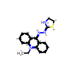 CCn1c2ccccc2c(=NN=C2NCCS2)c2ccccc21